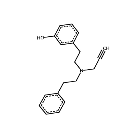 C#CCN(CCc1ccccc1)CCc1cccc(O)c1